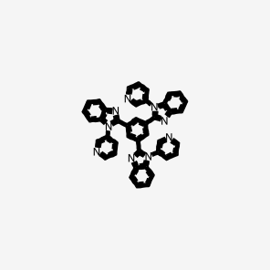 c1cncc(-n2c(-c3cc(-c4nc5ccccc5n4-c4cccnc4)cc(-c4nc5ccccc5n4-c4cccnc4)c3)nc3ccccc32)c1